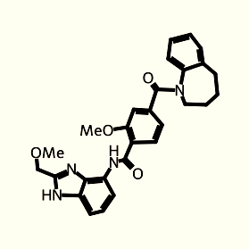 COCc1nc2c(NC(=O)c3ccc(C(=O)N4CCCCc5ccccc54)cc3OC)cccc2[nH]1